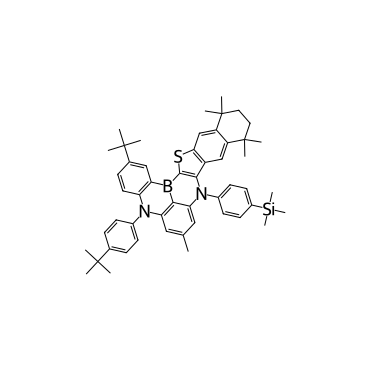 Cc1cc2c3c(c1)N(c1ccc([Si](C)(C)C)cc1)c1c(sc4cc5c(cc14)C(C)(C)CCC5(C)C)B3c1cc(C(C)(C)C)ccc1N2c1ccc(C(C)(C)C)cc1